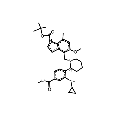 COC(=O)c1ccc([C@@H]2CCCCN2Cc2c(OC)cc(C)c3c2ccn3C(=O)OC(C)(C)C)c(NC2CC2)c1